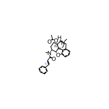 CC(=O)O[C@@]12CCC(N(C)C(=O)/C=C/c3ccccc3)C3Oc4cccc5c4[C@@]31CCN(C)[C@@H]2C5